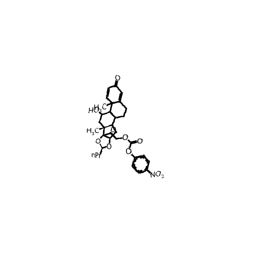 CCCC1OC2CC3C4CCC5=CC(=O)C=CC5(C)C4C(O)CC3(C)C2(C(=O)COC(=O)Oc2ccc([N+](=O)[O-])cc2)O1